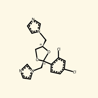 Clc1ccc([C@]2(Cn3ccnc3)OC[C@@H](Cn3ccnc3)O2)c(Cl)c1